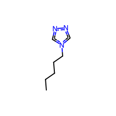 CCCCCn1cnnc1